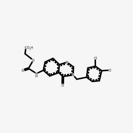 O=C(O)COC(=O)Nc1ccc2ncn(Cc3ccc(Cl)c(Cl)c3)c(=O)c2c1